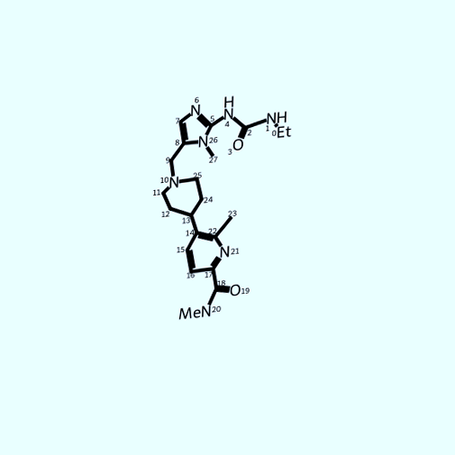 CCNC(=O)Nc1ncc(CN2CCC(c3ccc(C(=O)NC)nc3C)CC2)n1C